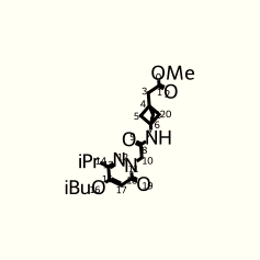 COC(=O)CC12CC(NC(=O)Cn3nc(C(C)C)c(OCC(C)C)cc3=O)(C1)C2